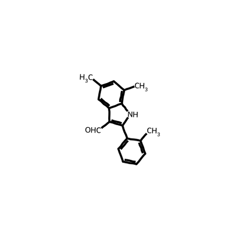 Cc1cc(C)c2[nH]c(-c3ccccc3C)c(C=O)c2c1